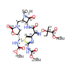 CC(C)(C)OC(=O)NC[C@H]1CN(C[C@@H]2[C@H](NC(=O)/C(=N\OC(C)(C)C(=O)OC(C)(C)C)c3csc(NC(=O)OC(C)(C)C)n3)C(=O)N2S(=O)(=O)O)C(=O)O1